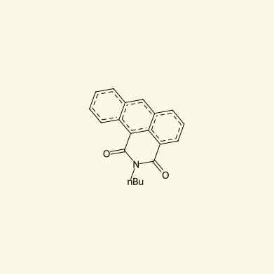 CCCCN1C(=O)c2cccc3cc4ccccc4c(c23)C1=O